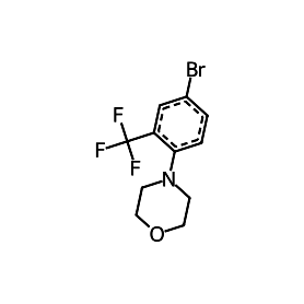 FC(F)(F)c1cc(Br)ccc1N1CCOCC1